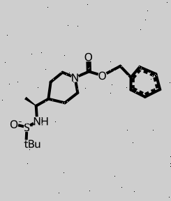 C[C@H](N[S+]([O-])C(C)(C)C)C1CCN(C(=O)OCc2ccccc2)CC1